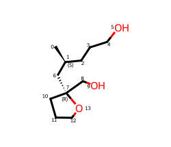 C[C@@H](CCCO)C[C@@]1(CO)CCCO1